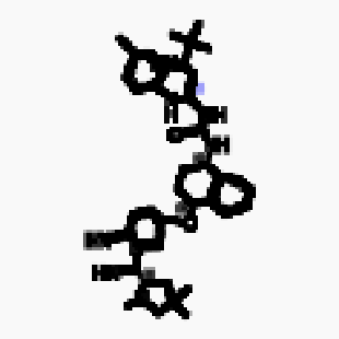 Cc1ccc(N/C(=C\C(=N)C(C)(C)C)NC(=O)N[C@H]2CC[C@@H](Oc3ccc(=N)n(C(=N)[C@@H]4CC(C)(C)CN4C)c3)c3ccccc32)cc1